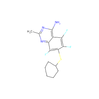 Cc1nc(N)c2c(F)c(F)c(SC3CCCCC3)c(F)c2n1